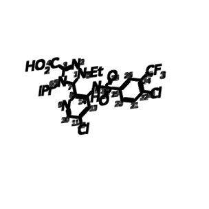 CCN1N=C(C(=O)O)N(C(C)C)C1c1ncc(Cl)cc1NS(=O)(=O)c1ccc(Cl)c(C(F)(F)F)c1